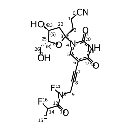 N#CCC[C@]1(n2cc(C#CCN(F)C(=O)C(F)F)c(=O)[nH]c2=O)C[C@H](O)[C@@H](CO)O1